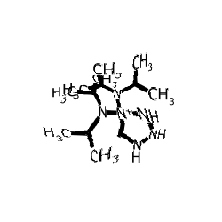 CC(C)N(C(C)C)[N+]1(N(C(C)C)C(C)C)CNNN1